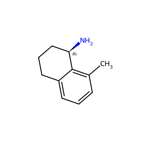 Cc1cccc2c1[C@H](N)CCC2